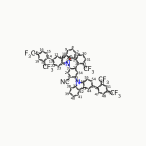 N#Cc1cc(-n2c3ccccc3c3cc(-c4ccc(C(F)(F)F)cc4C(F)(F)F)ccc32)c(-c2c(C(F)(F)F)cccc2C(F)(F)F)cc1-n1c2ccccc2c2cc(-c3ccc(C(F)(F)F)cc3C(F)(F)F)ccc21